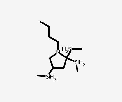 CCCCN1CC([SiH2]C)CC1([SiH2]C)[SiH2]C